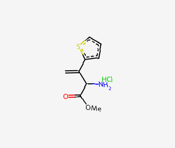 C=C(c1cccs1)C(N)C(=O)OC.Cl